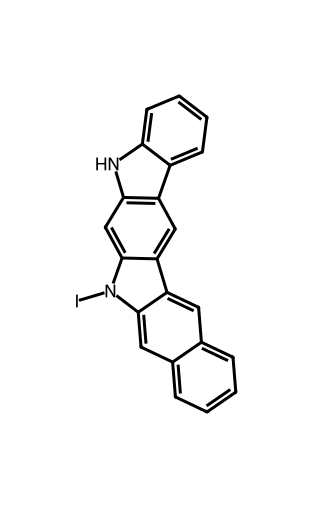 In1c2cc3ccccc3cc2c2cc3c(cc21)[nH]c1ccccc13